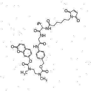 CC(C)C(NC(=O)CCCCCN1C(=O)C=CC1=O)C(=O)NCC(=O)Nc1ccc(COC(=O)N(C)CCN(C)C(=O)Oc2ccc3ccc(=O)oc3c2)cc1